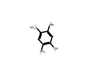 CCCCc1cc(O)c([N+](=O)[O-])cc1S(=O)(=O)O